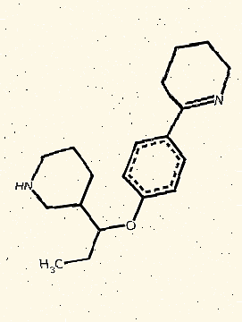 CCC(Oc1ccc(C2=NCCCC2)cc1)C1CCCNC1